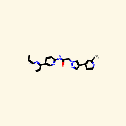 C=C/C(=N\C=C/C)c1ccc(NC(=O)Cn2cc(-c3ccnc(C(F)(F)F)c3)cn2)nc1